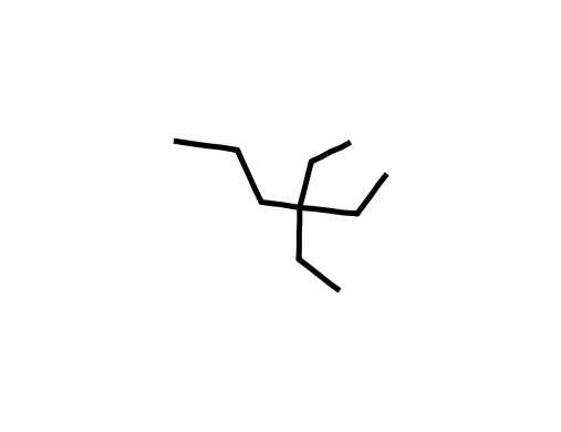 CCCC(CC)(CC)CC